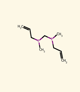 C=CCP(C)CP(C)CC=C